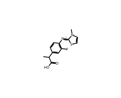 CC(C(=O)O)c1ccc(/N=c2\sccn2C)c(F)c1